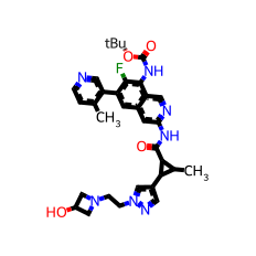 Cc1ccncc1-c1cc2cc(NC(=O)C3C(C)C3c3cnn(CCN4CC(O)C4)c3)ncc2c(NC(=O)OC(C)(C)C)c1F